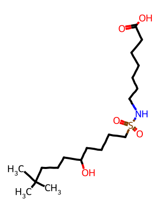 CC(C)(C)CCCC(O)CCCCS(=O)(=O)NCCCCCCC(=O)O